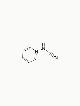 N#CN[n+]1ccccc1